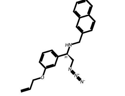 C=CCOc1cccc([C@H](CN=[N+]=[N-])NCc2ccc3ccccc3c2)c1